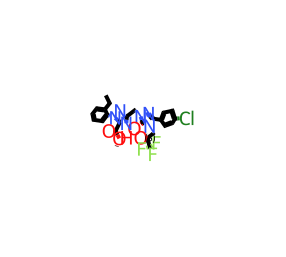 CCc1ccccc1-n1nc(Cn2nc(-c3ccc(Cl)cc3)n(C[C@H](O)C(F)(F)F)c2=O)nc1C(=O)OC